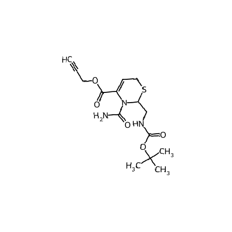 C#CCOC(=O)C1=CCSC(CNC(=O)OC(C)(C)C)N1C(N)=O